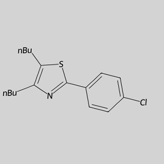 CCCCc1nc(-c2ccc(Cl)cc2)sc1CCCC